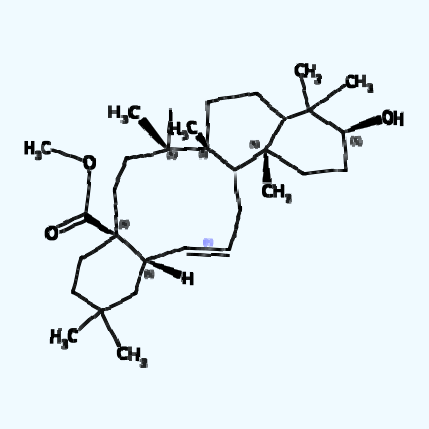 COC(=O)[C@]12CCC(C)(C)C[C@H]1/C=C/CC1[C@@]3(C)CC[C@H](O)C(C)(C)C3CC[C@@]1(C)[C@@](C)(I)CC2